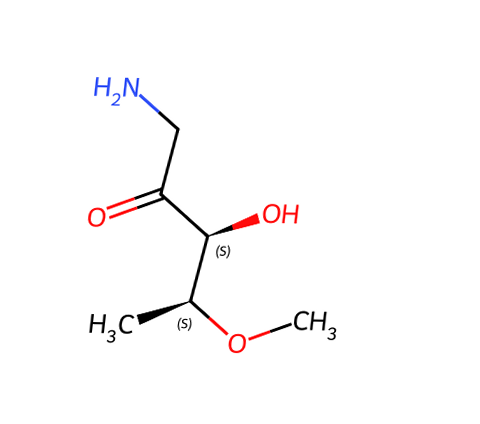 CO[C@@H](C)[C@H](O)C(=O)CN